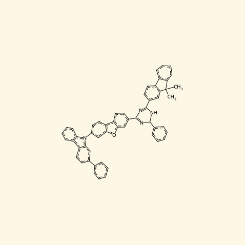 CC1(C)c2ccccc2-c2ccc(C3=NC(c4ccc5c(c4)oc4cc(-n6c7ccccc7c7ccc(-c8ccccc8)cc76)ccc45)=NC(c4ccccc4)N3)cc21